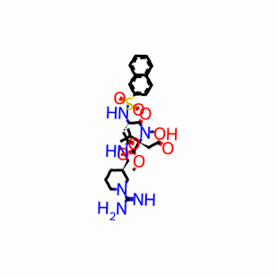 COC(=O)[C@](CC(=O)O)(C(C)C)N(C)C(=O)[C@H](CC(=O)NC[C@@H]1CCCN(C(=N)N)C1)NS(=O)(=O)c1ccc2ccccc2c1